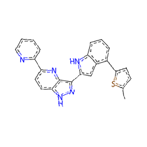 Cc1ccc(-c2cccc3[nH]c(-c4n[nH]c5ccc(-c6ccccn6)nc45)cc23)s1